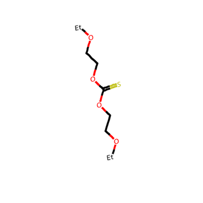 CCOCCOC(=S)OCCOCC